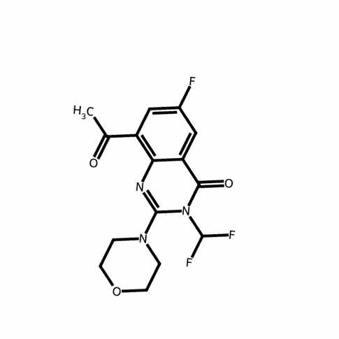 CC(=O)c1cc(F)cc2c(=O)n(C(F)F)c(N3CCOCC3)nc12